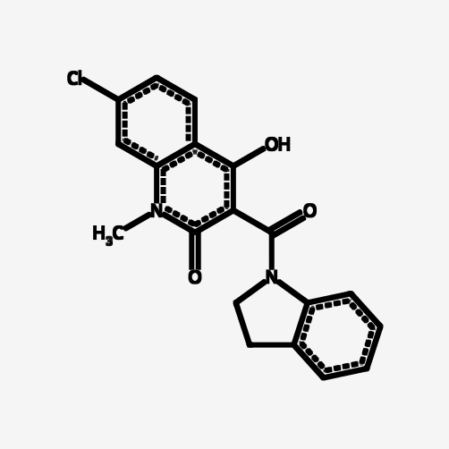 Cn1c(=O)c(C(=O)N2CCc3ccccc32)c(O)c2ccc(Cl)cc21